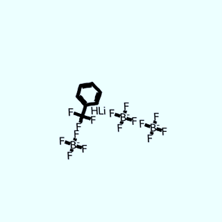 FC(F)(F)c1ccccc1.F[B-](F)(F)F.F[B-](F)(F)F.F[B-](F)(F)F.[LiH]